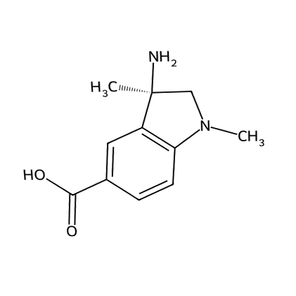 CN1C[C@](C)(N)c2cc(C(=O)O)ccc21